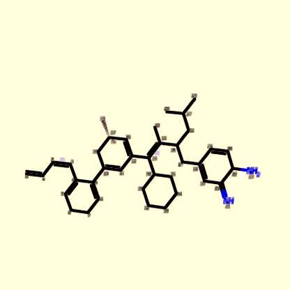 C=C/C=C\C1=CCCC=C1C1=CC(/C(=C(\C)C(CC2=CC(=N)C(N)C=C2)CC(C)C)C2CCCCC2)=C[C@@H](C)C1